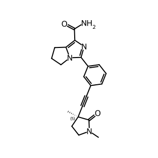 CN1CC[C@@](C)(C#Cc2cccc(-c3nc(C(N)=O)c4n3CCC4)c2)C1=O